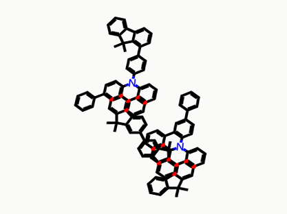 CC1(C)c2cc(-c3ccc4c(c3)C(C)(C)c3c(-c5ccccc5N(c5ccc(-c6ccccc6)cc5-c5ccccc5)c5ccccc5-c5cccc6c5-c5ccccc5C6(C)C)cccc3-4)ccc2-c2c(-c3ccccc3N(c3ccc(-c4cccc5c4C(C)(C)c4ccccc4-5)cc3)c3ccc(-c4ccccc4)cc3-c3ccccc3)cccc21